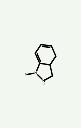 IN1NCC2CC=CC=C21